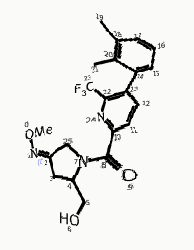 CO/N=C1/CC(CO)N(C(=O)c2ccc(-c3cccc(C)c3C)c(C(F)(F)F)n2)C1